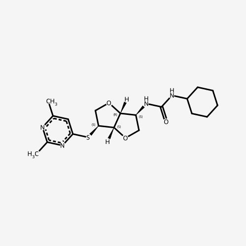 Cc1cc(S[C@H]2CO[C@H]3[C@@H]2OC[C@@H]3NC(=O)NC2CCCCC2)nc(C)n1